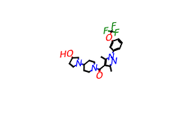 Cc1nn(-c2cccc(OC(F)(F)F)c2)c(C)c1C(=O)N1CCC(N2CCC(O)C2)CC1